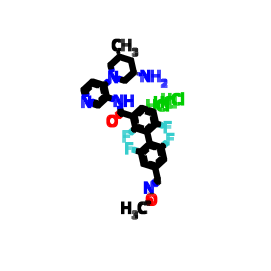 CO/N=C/c1cc(F)c(-c2c(F)ccc(C(=O)Nc3cnccc3N3C[C@H](C)C[C@H](N)C3)c2F)c(F)c1.Cl.Cl.Cl